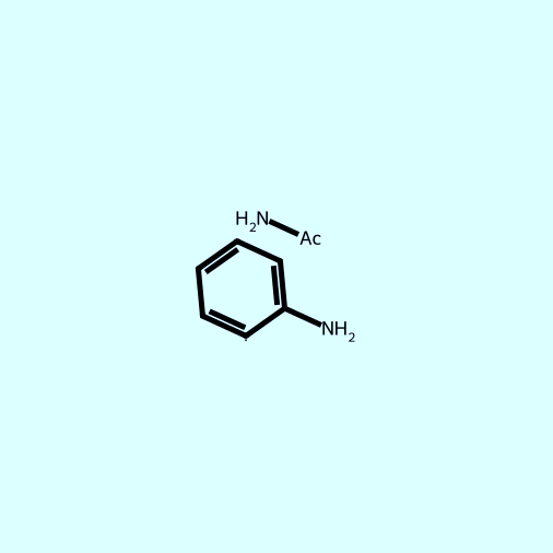 CC(N)=O.Nc1[c]cccc1